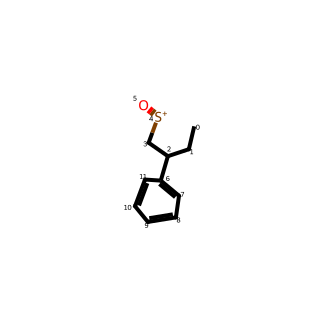 CCC(C[S+]=O)c1ccccc1